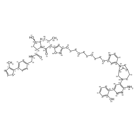 Cc1ncsc1-c1ccc(CNC(=O)[C@@H]2C[C@@H](O)CN2C(=O)[C@@H](c2cc(OCCOCCOCCOc3cc(N4CC5CCN(c6cc(-c7ccccc7O)nnc6N)CC4C5)ccn3)no2)C(C)C)cc1